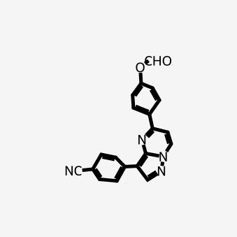 N#Cc1ccc(-c2cnn3ccc(-c4ccc(OC=O)cc4)nc23)cc1